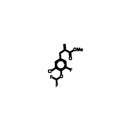 C=C(Cc1cc(F)c(OC(F)F)c(Cl)c1)C(=O)OC